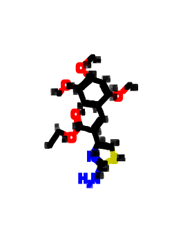 CCOC(=O)C(=Cc1cc(OC)c(OC)cc1OC)c1csc(N)n1